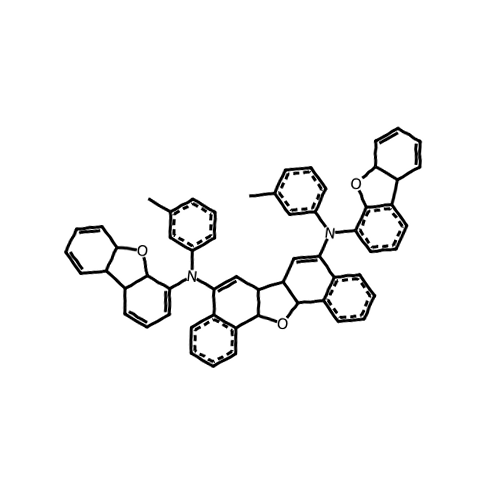 Cc1cccc(N(C2=CC3C(OC4c5ccccc5C(N(c5cccc(C)c5)c5cccc6c5OC5C=CC=CC65)=CC43)c3ccccc32)C2=CC=CC3C2OC2C=CC=CC23)c1